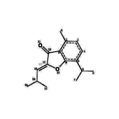 Cc1ccc(C(C)C)c2c1C(=O)/C(=C/C(C)C)O2